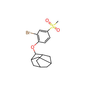 CS(=O)(=O)c1ccc(OC2C3CC4CC(C3)CC2C4)c(Br)c1